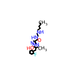 CCCCCNCCNC(=O)c1cnn2c(O)c(Cc3ccccc3F)c(C)nc12